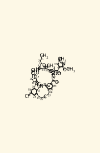 C=CC[C@@H]1C[C@@H]2C[C@H](OC)[C@@H]3CC[C@H]3CN3Cc4ccc(Cl)cc4CCCCCc4ccc(cc43)C(=O)N=S(=O)(NC(=O)c3cn(C)nc3OC)C[C@@H](C)[C@H]2O1